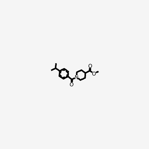 COC(=O)C1CCN(C(=O)c2ccc(C(C)C)cc2)CC1